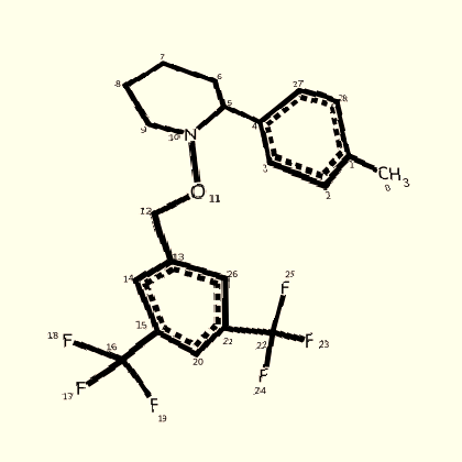 Cc1ccc(C2CCCCN2OCc2cc(C(F)(F)F)cc(C(F)(F)F)c2)cc1